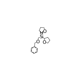 c1ccc(COC[SiH](C2CCCO2)C2CCCO2)cc1